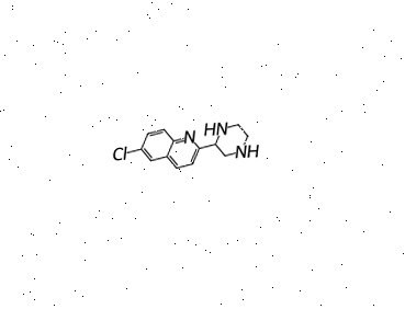 Clc1ccc2nc(C3CNCCN3)ccc2c1